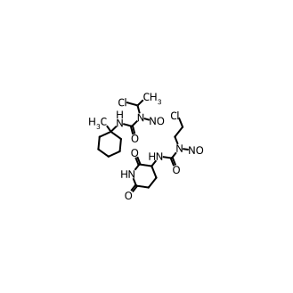 CC(Cl)N(N=O)C(=O)NC1(C)CCCCC1.O=NN(CCCl)C(=O)NC1CCC(=O)NC1=O